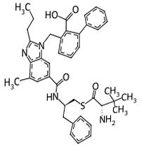 CCCc1nc2c(C)cc(C(=O)N[C@@H](CSC(=O)[C@@H](N)C(C)(C)C)Cc3ccccc3)cc2n1Cc1cccc(-c2ccccc2)c1C(=O)O